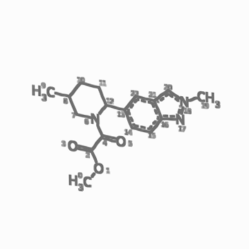 COC(=O)C(=O)N1CC(C)CCC1c1ccc2nn(C)cc2c1